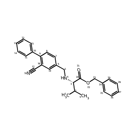 CC(C)[C@H](NCc1ccc(-c2ccccc2)c(C#N)c1)C(=O)OCc1ccccc1